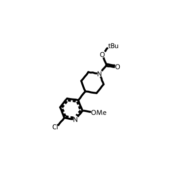 COc1nc(Cl)ccc1C1CCN(C(=O)OC(C)(C)C)CC1